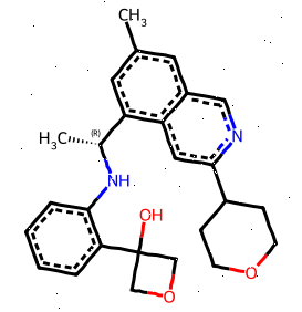 Cc1cc([C@@H](C)Nc2ccccc2C2(O)COC2)c2cc(C3CCOCC3)ncc2c1